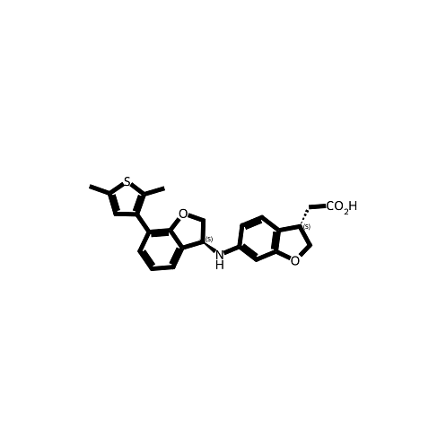 Cc1cc(-c2cccc3c2OC[C@H]3Nc2ccc3c(c2)OC[C@H]3CC(=O)O)c(C)s1